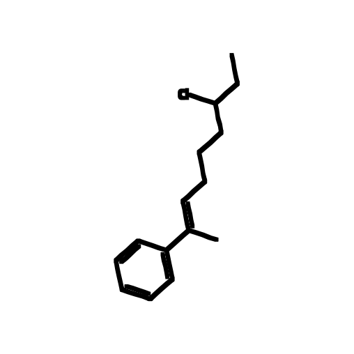 CCC(Cl)CCCC=C(C)c1ccccc1